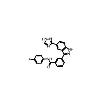 O=C(Nc1ccc(F)cc1)c1cccc(-c2n[nH]c3ccc(-c4nc[nH]n4)cc23)c1